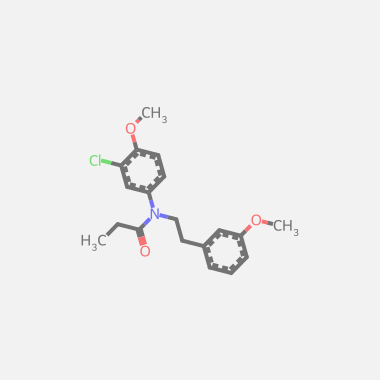 CCC(=O)N(CCc1cccc(OC)c1)c1ccc(OC)c(Cl)c1